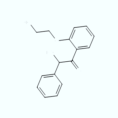 O=C(c1ccccc1OCCO)C(O)c1ccccc1